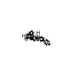 CN1CCN(c2ccc(Nc3ncc4cc5n(c4n3)C3(CCCC3)CNC5=O)nc2)CC1